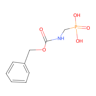 O=C(NCP(=O)(O)O)OCc1ccccc1